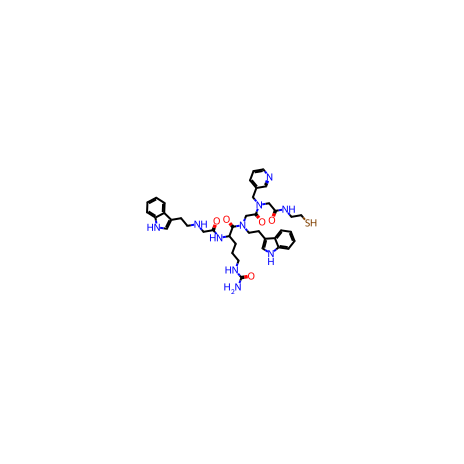 NC(=O)NCCCC(NC(=O)CNCCc1c[nH]c2ccccc12)C(=O)N(CCc1c[nH]c2ccccc12)CC(=O)N(CC(=O)NCCS)Cc1cccnc1